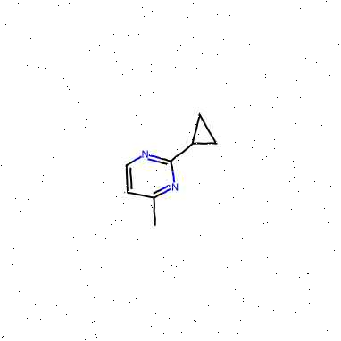 Cc1[c]cnc(C2CC2)n1